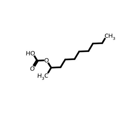 CCCCCCCCC(C)OC(=O)O